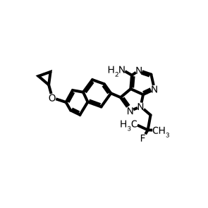 CC(C)(F)Cn1nc(-c2ccc3cc(OC4CC4)ccc3c2)c2c(N)ncnc21